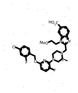 COCCn1c(CN2CCN(c3nc(OCc4ccc(Cl)cc4F)ccc3F)C[C@@H]2C)nc2ccc(C(=O)O)cc21